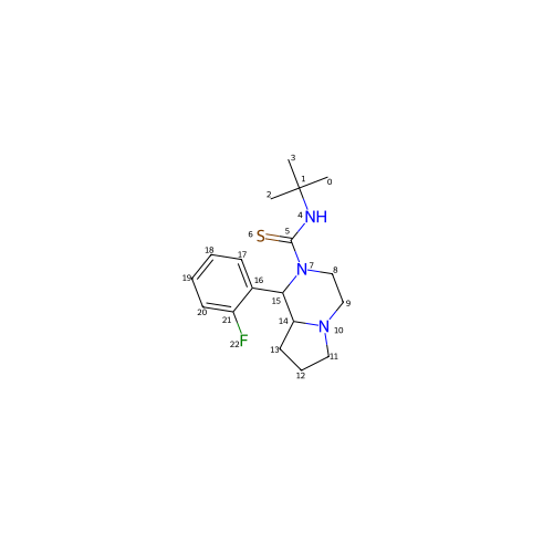 CC(C)(C)NC(=S)N1CCN2CCCC2C1c1ccccc1F